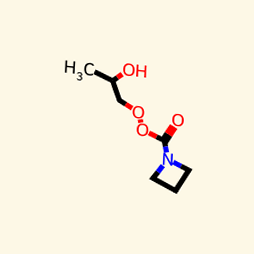 CC(O)COOC(=O)N1CCC1